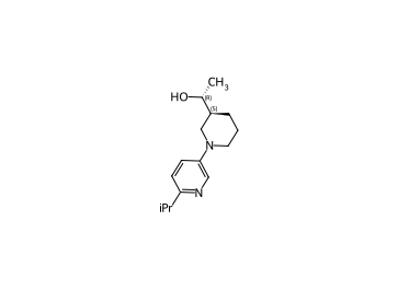 CC(C)c1ccc(N2CCC[C@H]([C@@H](C)O)C2)cn1